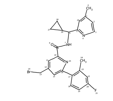 Cc1ccnc(C(NC(=O)c2cc(CBr)cc(-c3ccc(F)cc3C)n2)C2CC2)c1